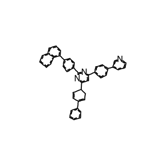 C1=CC(c2cc(-c3ccc(-c4cccnc4)cc3)nc(-c3ccc(-c4cccc5ccccc45)cc3)n2)CC=C1c1ccccc1